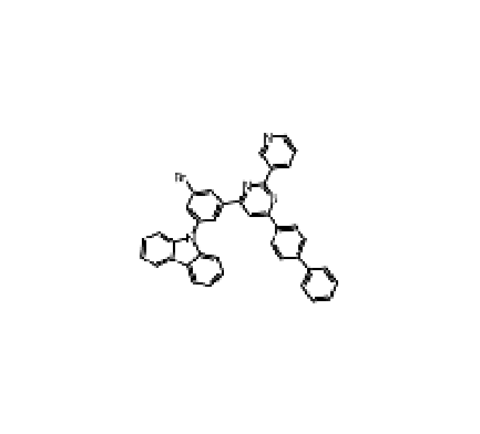 Brc1cc(-c2cc(-c3ccc(-c4ccccc4)cc3)nc(-c3cccnc3)n2)cc(-n2c3ccccc3c3ccccc32)c1